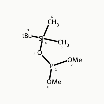 COP(OC)O[Si](C)(C)C(C)(C)C